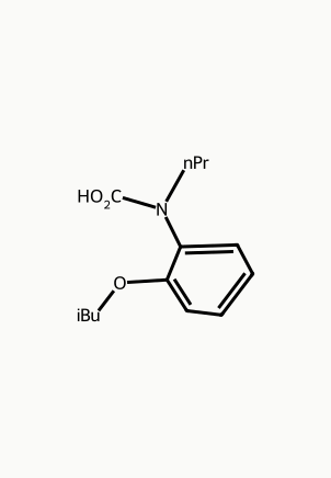 CCCN(C(=O)O)c1ccccc1OC(C)CC